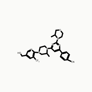 CC1CN(c2ncc(CO)cc2C(F)(F)F)CCN1c1cc(-c2ccc(C#N)cc2)nc(N2CCOCC2C)n1